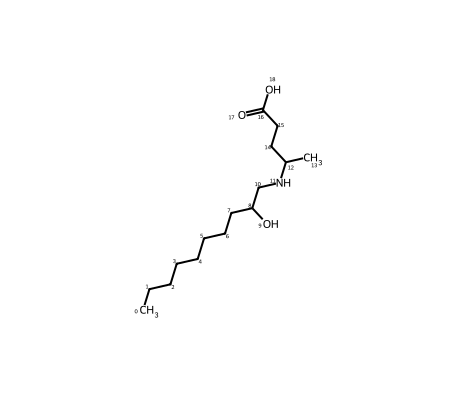 CCCCCCCCC(O)CNC(C)CCC(=O)O